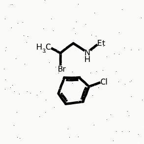 CCNCC(C)Br.Clc1ccccc1